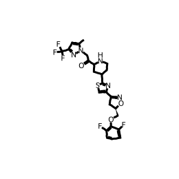 Cc1cc(C(F)(F)F)nn1CC(=O)C1CC(c2nc(C3=NO[C@@H](COc4c(F)cccc4F)C3)cs2)CCN1